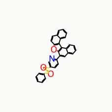 O=S(=O)(c1ccccc1)c1ccc(-c2cc3ccccc3c3c2oc2ccc4ccccc4c23)nc1